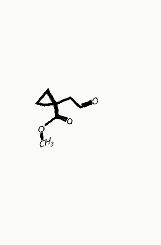 COC(=O)C1(CC=O)CC1